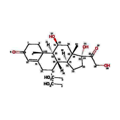 CC(=O)O.CC(=O)O.C[C@]12CCC(=O)C=C1CC[C@@H]1[C@@H]2[C@@H](O)C[C@@]2(C)[C@H]1CC[C@]2(O)C(=O)CO